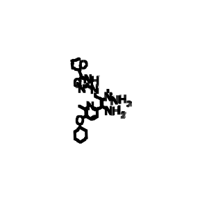 Cc1nc(/C(N)=C(\CNc2noc(C3CCCO3)n2)N(C)N)ccc1OC1CCCCC1